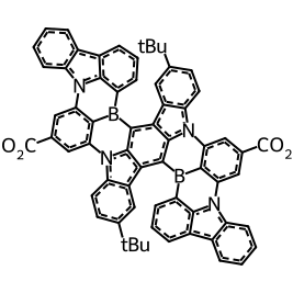 CC(C)(C)c1ccc2c(c1)c1c3c4c(c5c1n2-c1cc(C(=O)O)cc2c1B5c1cccc5c6ccccc6n-2c15)c1cc(C(C)(C)C)ccc1n4-c1cc(C(=O)O)cc2c1B3c1cccc3c4ccccc4n-2c13